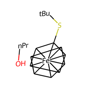 CC(C)(C)S[C]12[CH]3[CH]4[CH]5[CH]1[Fe]45321678[CH]2[CH]1[CH]6[CH]7[CH]28.CCCO